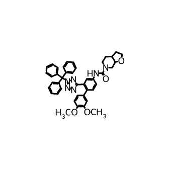 COc1ccc(-c2ccc(NC(=O)N3CCC4CCOC4C3)cc2-c2nnn(C(c3ccccc3)(c3ccccc3)c3ccccc3)n2)cc1OC